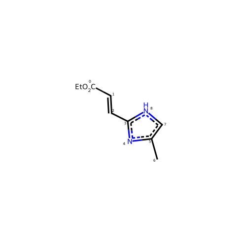 CCOC(=O)C=Cc1nc(C)c[nH]1